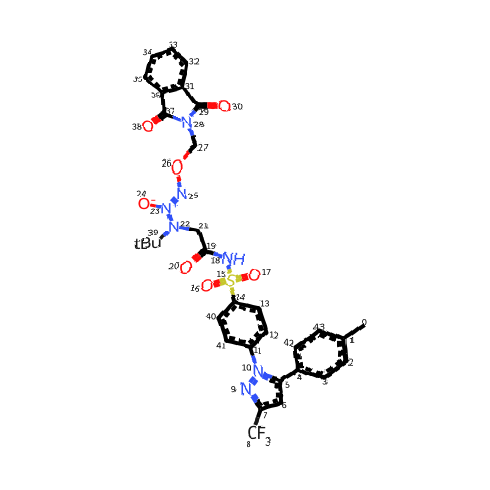 Cc1ccc(-c2cc(C(F)(F)F)nn2-c2ccc(S(=O)(=O)NC(=O)CN([N+]([O-])=NOCN3C(=O)c4ccccc4C3=O)C(C)(C)C)cc2)cc1